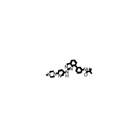 C=C(C)C(=O)Nc1cccc(-c2cccc3cnc(Nc4ccc(N5CCN(C)CC5)nc4)nc23)c1